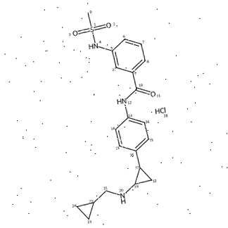 CS(=O)(=O)Nc1cccc(C(=O)Nc2ccc(C3CC3NCC3CC3)cc2)c1.Cl